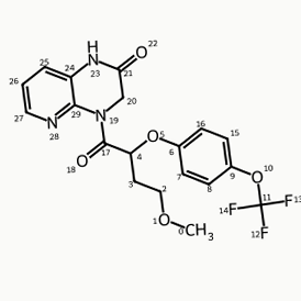 COCCC(Oc1ccc(OC(F)(F)F)cc1)C(=O)N1CC(=O)Nc2cccnc21